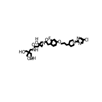 O=C(CC1(O)CN(C(=O)Cc2ccc(OCCCC3CCN(c4ncc(Cl)cn4)CC3)cc2F)C1)NCC(CO)(CO)CO